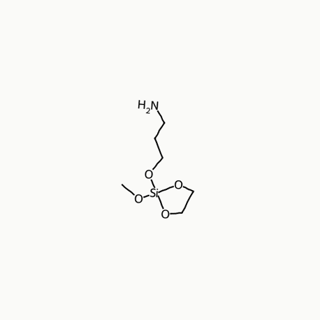 CO[Si]1(OCCCN)OCCO1